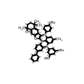 Cc1cc2c3c(c1)N(c1ccc(C(C)(C)C)cc1)c1c(oc4cc5c(cc14)C(C)(C)CCC5(C)C)B3c1ccc(-c3ccccc3)cc1N2c1cc(C(C)(C)C)cc(C(C)(C)C)c1